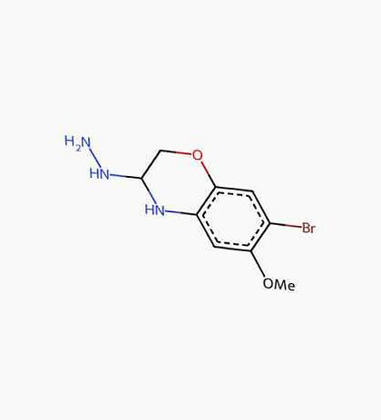 COc1cc2c(cc1Br)OCC(NN)N2